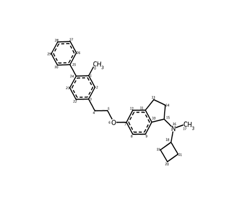 Cc1cc(CCOc2ccc3c(c2)CCC3N(C)C2CCC2)ccc1-c1ccccc1